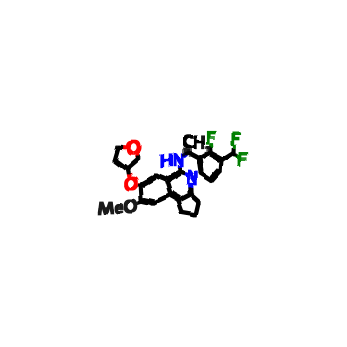 COc1cc2c3c(nc(N[C@H](C)c4cccc(C(F)F)c4F)c2cc1OC1CCOC1)CCC3